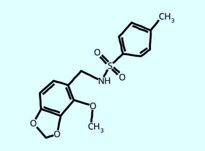 COc1c(CNS(=O)(=O)c2ccc(C)cc2)ccc2c1OCO2